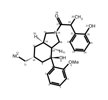 COc1ccccc1[C@]1(O)C[C@H](CC#N)C[C@H]2CN(C(=O)C(C)c3ccccc3O)C[C@H]21